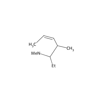 C/C=C\C(C)C(CC)NC